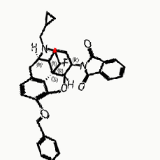 O=C1c2ccccc2C(=O)N1[C@@H]1CC[C]2[C@H]3Cc4ccc(OCc5ccccc5)c5c4[C@]2([C@@H](F)CN3CC2CC2)[C@H]1O5